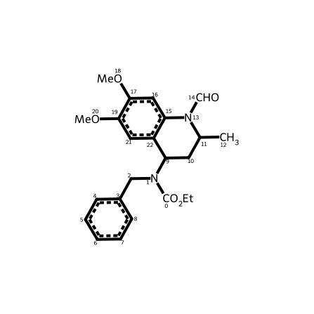 CCOC(=O)N(Cc1ccccc1)C1CC(C)N(C=O)c2cc(OC)c(OC)cc21